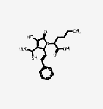 CCCCC(C(=O)O)N1C(=O)C(O)=C(C(C)S)C1C=Cc1ccccc1